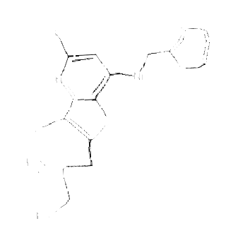 CC[C@H](N)Cc1sc2c(NCc3nccs3)cc(Cl)nc2c1Cl